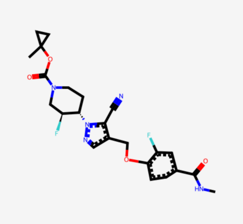 CNC(=O)c1ccc(OCc2cnn([C@H]3CCN(C(=O)OC4(C)CC4)C[C@@H]3F)c2C#N)c(F)c1